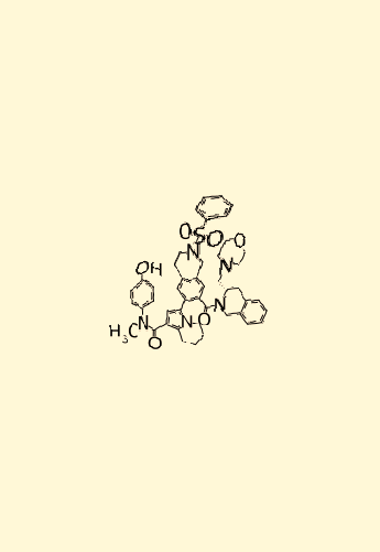 CN(C(=O)c1cc(-c2cc3c(cc2C(=O)N2Cc4ccccc4C[C@H]2CN2CCOCC2)CN(S(=O)(=O)c2ccccc2)CC3)n2c1CCCC2)c1ccc(O)cc1